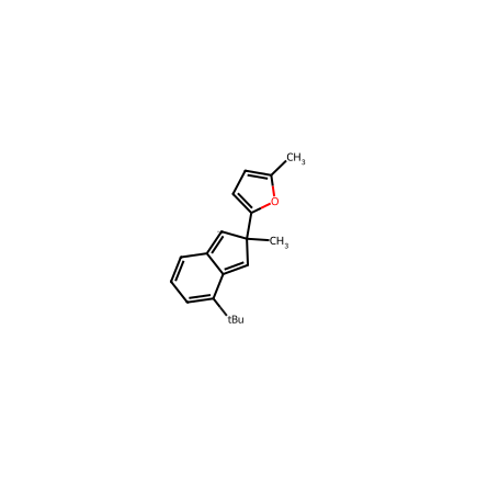 Cc1ccc(C2(C)[C]=c3cccc(C(C)(C)C)c3=C2)o1